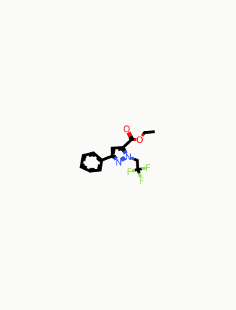 CCOC(=O)c1cc(-c2ccccc2)nn1CC(F)(F)F